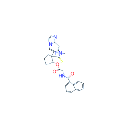 CNC(=S)C1(c2ccc3nccn3c2)CCCCC1OC(=O)CNC(=O)c1cccc2ccccc12